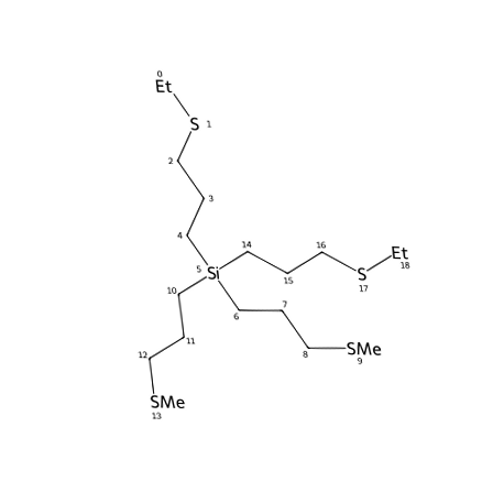 CCSCCC[Si](CCCSC)(CCCSC)CCCSCC